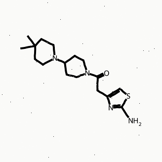 CC1(C)CCN(C2CCN(C(=O)Cc3csc(N)n3)CC2)CC1